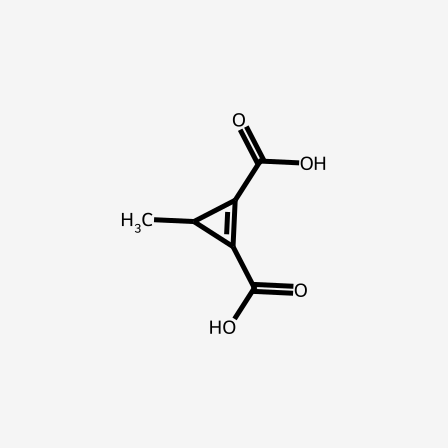 CC1C(C(=O)O)=C1C(=O)O